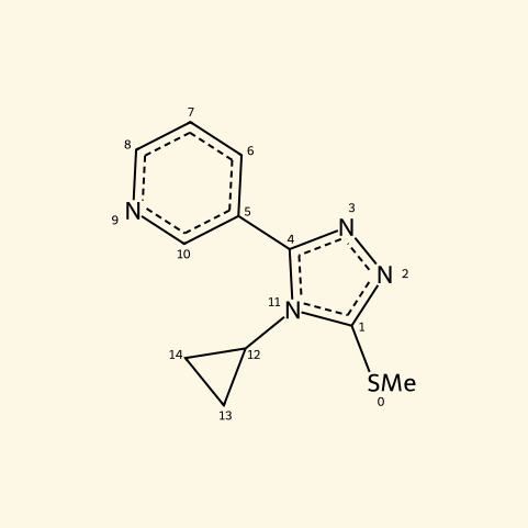 CSc1nnc(-c2cccnc2)n1C1CC1